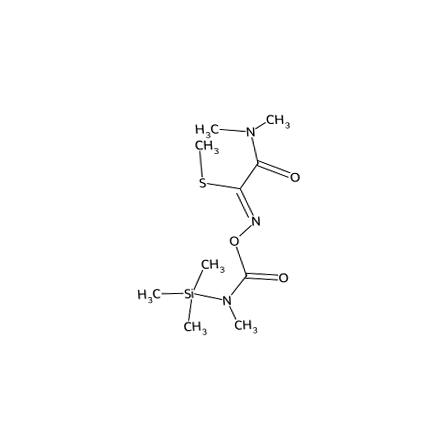 CS/C(=N\OC(=O)N(C)[Si](C)(C)C)C(=O)N(C)C